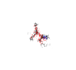 CCCCC(CC)COC(=O)C(C)(CCC)CCC(C)(CC(C)N1CCCCCC1=O)C(=O)OCCOC(=O)C(CCC(=O)CCOc1ccccc1)(CCC(=O)CCOc1ccccc1)C(C)=O